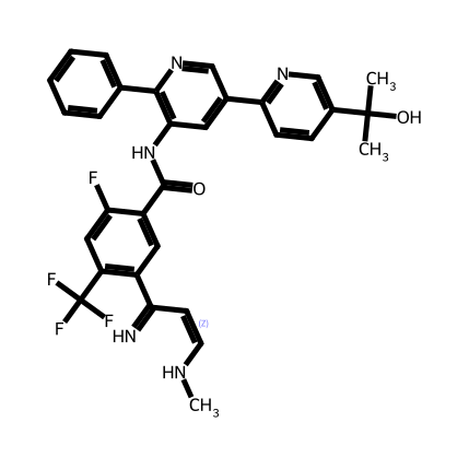 CN/C=C\C(=N)c1cc(C(=O)Nc2cc(-c3ccc(C(C)(C)O)cn3)cnc2-c2ccccc2)c(F)cc1C(F)(F)F